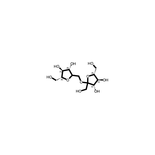 OC[C@H]1OC(CO)(OC[C]2O[C@H](CO)[C@@H](O)[C@@H]2O)[C@@H](O)[C@@H]1O